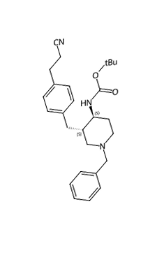 CC(C)(C)OC(=O)N[C@H]1CCN(Cc2ccccc2)C[C@@H]1Cc1ccc(CCC#N)cc1